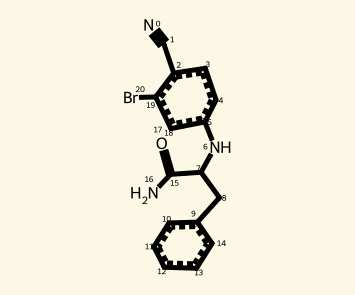 N#Cc1ccc(NC(Cc2ccccc2)C(N)=O)cc1Br